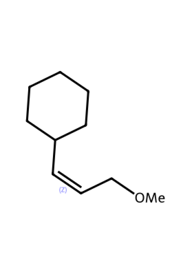 COC/C=C\C1CCCCC1